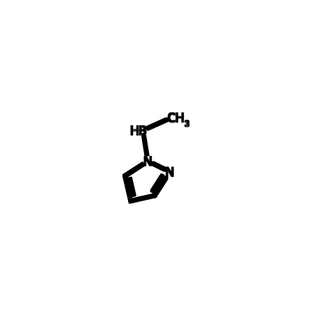 CBn1cccn1